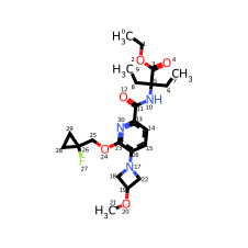 CCOC(=O)C(CC)(CC)NC(=O)c1ccc(N2CC(OC)C2)c(OCC2(F)CC2)n1